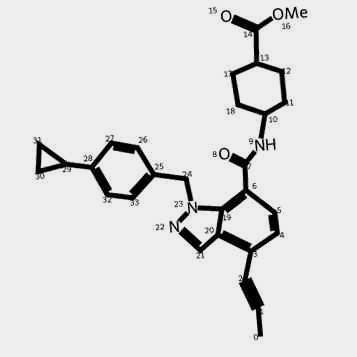 CC#Cc1ccc(C(=O)NC2CCC(C(=O)OC)CC2)c2c1cnn2Cc1ccc(C2CC2)cc1